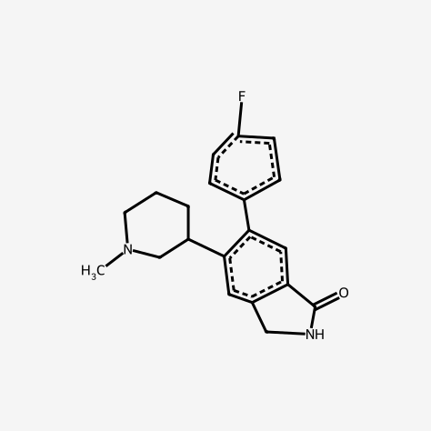 CN1CCCC(c2cc3c(cc2-c2ccc(F)cc2)C(=O)NC3)C1